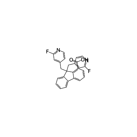 O=C(O)c1cccc2c1C(Cc1ccnc(F)c1)(Cc1ccnc(F)c1)c1ccccc1-2